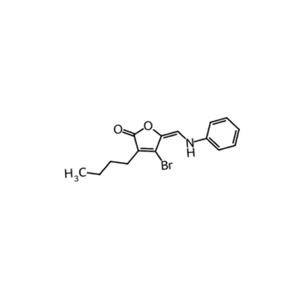 CCCCC1=C(Br)C(=CNc2ccccc2)OC1=O